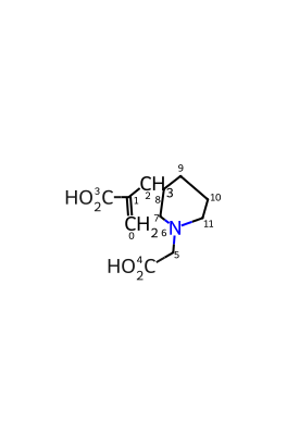 C=C(C)C(=O)O.O=C(O)CN1CCCCC1